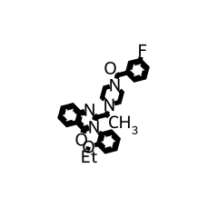 CCOc1ccccc1-n1c(C(C)N2CCN(C(=O)c3cccc(F)c3)CC2)nc2ccccc2c1=O